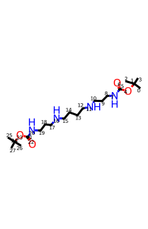 CC(C)(C)OC(=O)NCCCNCCCCNCCCNC(=O)OC(C)(C)C